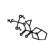 CC(C)(C)OC(=O)N1CC2CCC(C1)N2C(=O)C1CC1